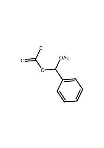 CC(=O)OC(OC(=O)Cl)c1ccccc1